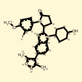 COc1ccc(N2C(=O)CCC2c2nc3cc(-c4c(C)noc4C)ccc3n2C2CCC(O)CC2)cc1F